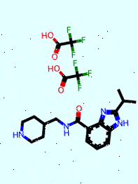 CC(C)c1nc2c(C(=O)NCC3CCNCC3)cccc2[nH]1.O=C(O)C(F)(F)F.O=C(O)C(F)(F)F